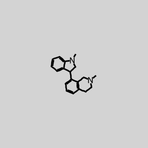 CN1CCc2cccc(C3CN(C)c4ccccc43)c2C1